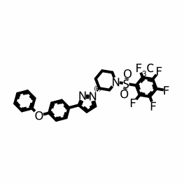 O=S(=O)(c1c(F)c(F)c(F)c(F)c1C(F)(F)F)N1CCC[C@@H](n2ccc(-c3ccc(Oc4ccccc4)cc3)n2)C1